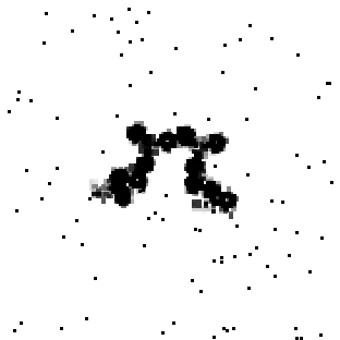 CC1(C)c2ccccc2-c2ccc(-c3cccc4c3oc3cc(-c5nc(-c6ccccc6)nc(-c6cccc(-c7ccc(-c8nc(-c9ccccc9)nc(-c9ccc%10c(c9)oc9c(-c%11cccc%12c%11-c%11ccccc%11C%12(C)C)cccc9%10)n8)cc7)c6)n5)ccc34)cc21